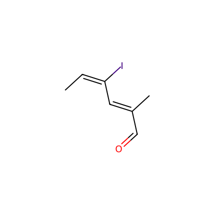 C/C=C(I)\C=C(/C)C=O